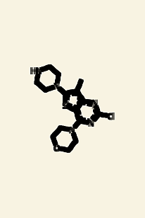 Cc1c(N2CCNCC2)sc2c(N3CCOCC3)nc(Cl)nc12